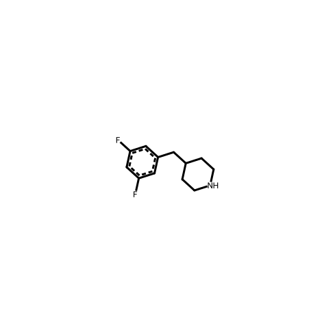 Fc1cc(F)cc(CC2CCNCC2)c1